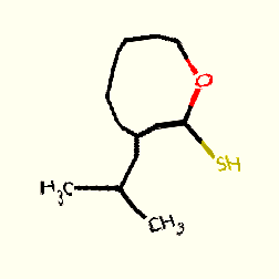 CC(C)C1CCCOC1S